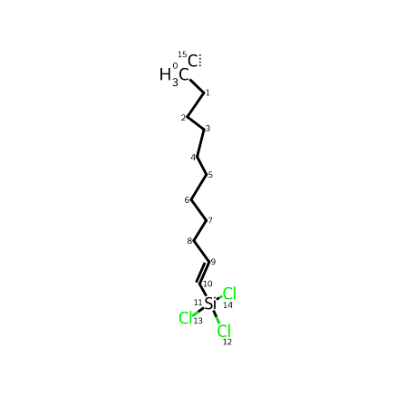 CCCCCCCCCC=C[Si](Cl)(Cl)Cl.[C]